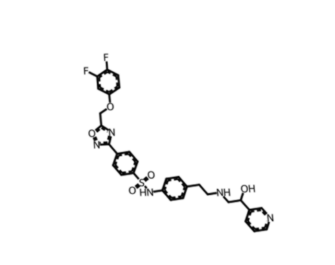 O=S(=O)(Nc1ccc(CCNCC(O)c2cccnc2)cc1)c1ccc(-c2noc(COc3ccc(F)c(F)c3)n2)cc1